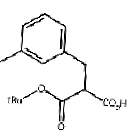 Cc1cccc(CC(C(=O)O)C(=O)OC(C)(C)C)c1